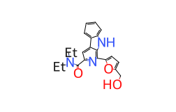 CCN(CC)C(=O)c1cc2c([nH]c3ccccc32)c(-c2ccc(CO)o2)n1